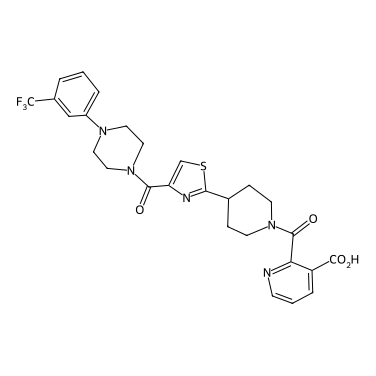 O=C(O)c1cccnc1C(=O)N1CCC(c2nc(C(=O)N3CCN(c4cccc(C(F)(F)F)c4)CC3)cs2)CC1